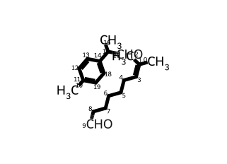 CC(C)=CCCCCCC=O.Cc1ccc(C(C)C=O)cc1